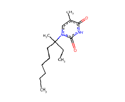 CCCCCCC(C)(CC)n1cc(C)c(=O)[nH]c1=O